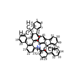 CC1(C)c2ccccc2-c2ccc(-c3c(-c4ccccc4)cccc3N(c3cccc(-c4ccccc4)c3)c3cccc4c3C(C)(C)c3ccccc3-4)cc21